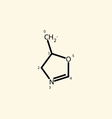 [CH2]C1CN=CO1